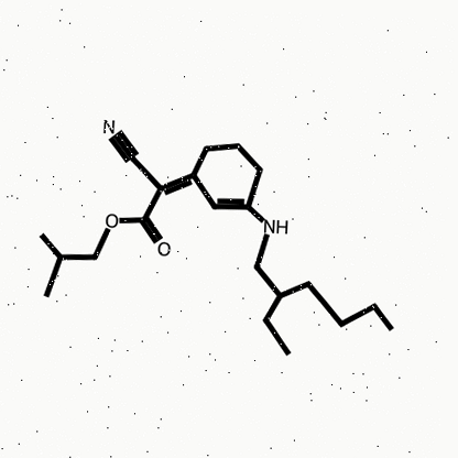 CCCCC(CC)CNC1=C/C(=C(/C#N)C(=O)OCC(C)C)CCC1